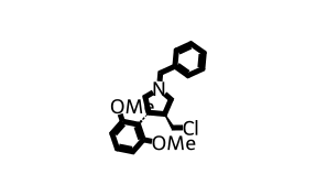 COc1cccc(OC)c1[C@@H]1CN(Cc2ccccc2)C[C@H]1CCl